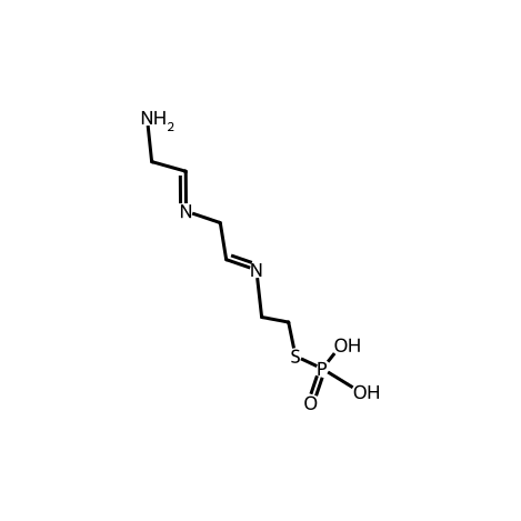 NCC=NCC=NCCSP(=O)(O)O